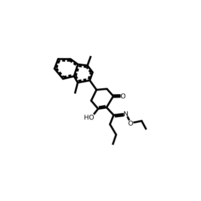 CCC/C(=N\OCC)C1=C(O)CC(c2cc(C)c3ccccc3c2C)CC1=O